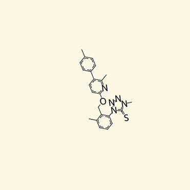 Cc1ccc(-c2ccc(OCc3c(C)cccc3-n3nnn(C)c3=S)nc2C)cc1